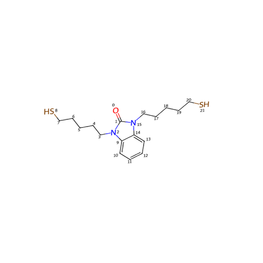 O=c1n(CCCCCS)c2ccccc2n1CCCCCS